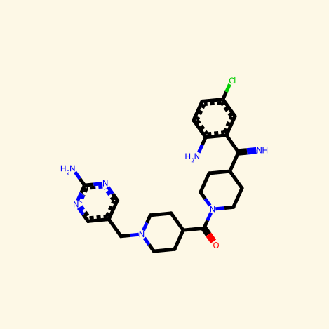 N=C(c1cc(Cl)ccc1N)C1CCN(C(=O)C2CCN(Cc3cnc(N)nc3)CC2)CC1